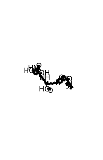 CC(C)c1nc(C(=O)N2CCOC3(CCN(CCCCCC(C)(C)CCCNCC(O)c4ccc(O)c5[nH]c(=O)sc45)CC3)C2)cs1.O=CO